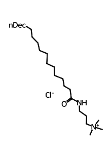 CCCCCCCCCCCCCCCCCCCCCC(=O)NCCC[N+](C)(C)C.[Cl-]